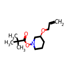 C=CCO[C@H]1CCCN(OC(=O)C(C)(C)C)C1